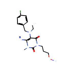 C=Nc1c(N(COC)Cc2ccc(Cl)cc2)c(=O)n(CCCON)c(=O)n1CC